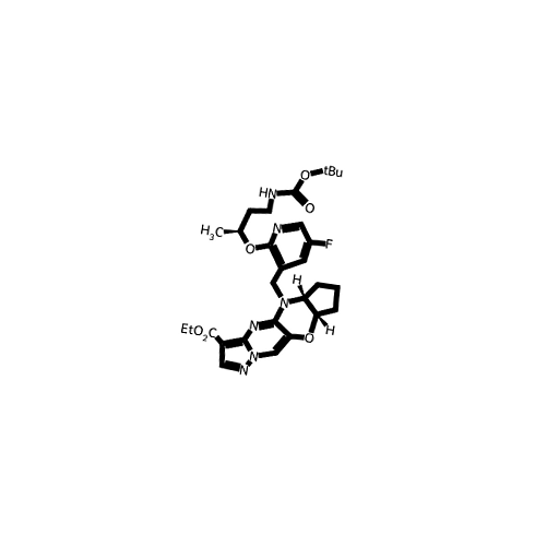 CCOC(=O)c1cnn2cc3c(nc12)N(Cc1cc(F)cnc1O[C@@H](C)CCNC(=O)OC(C)(C)C)[C@@H]1CCC[C@@H]1O3